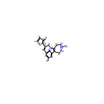 Cc1cc2c3c(c1)c1c(n3CC(c3sccc3C)=C2)CCN(C)CC1